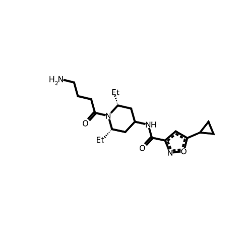 CC[C@@H]1CC(NC(=O)c2cc(C3CC3)on2)C[C@H](CC)N1C(=O)CCCN